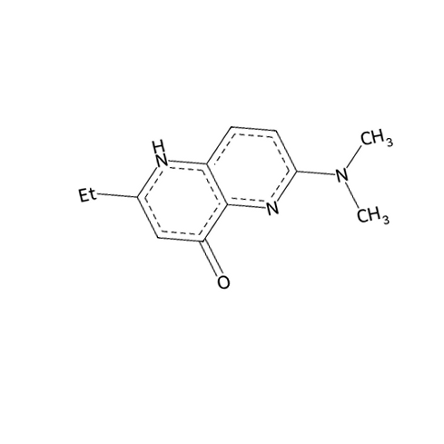 CCc1cc(=O)c2nc(N(C)C)ccc2[nH]1